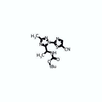 Cc1nc(C(C)NC(=O)OC(C)(C)C)n(-c2ncc(C#N)s2)n1